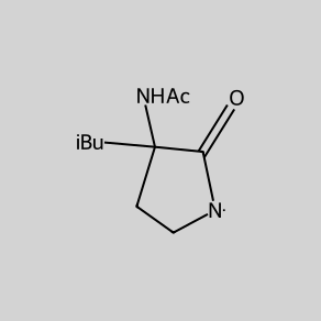 CCC(C)C1(NC(C)=O)CC[N]C1=O